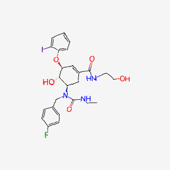 CCNC(=O)N(Cc1ccc(F)cc1)[C@@H]1CC(C(=O)NCCO)=C[C@H](Oc2ccccc2I)[C@H]1O